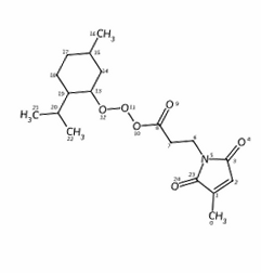 CC1=CC(=O)N(CCC(=O)OOOC2CC(C)CCC2C(C)C)C1=O